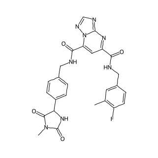 Cc1cc(CNC(=O)c2cc(C(=O)NCc3ccc(C4NC(=O)N(C)C4=O)cc3)n3ncnc3n2)ccc1F